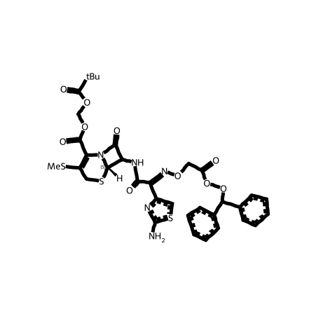 CSC1=C(C(=O)OCOC(=O)C(C)(C)C)N2C(=O)C(NC(=O)C(=NOCC(=O)OOC(c3ccccc3)c3ccccc3)c3csc(N)n3)[C@@H]2SC1